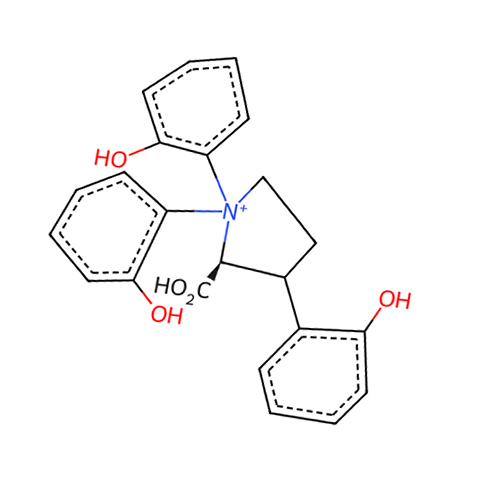 O=C(O)[C@@H]1C(c2ccccc2O)CC[N+]1(c1ccccc1O)c1ccccc1O